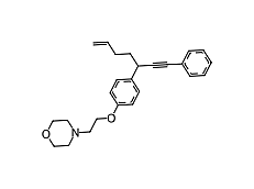 C=CCCC(C#Cc1ccccc1)c1ccc(OCCN2CCOCC2)cc1